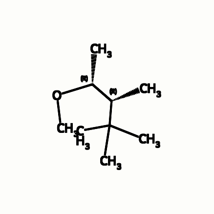 CO[C@H](C)[C@H](C)C(C)(C)C